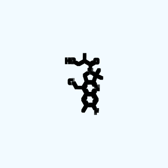 Cc1cc2c(CCl)c3c(nc2cc1F)C(C)(C)N(C(=O)C(C)CO)C3